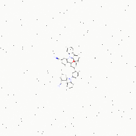 N#CC1=CCCc2c1c1ccccc1n2-c1cccc(-c2cccc(-c3ccc(C#N)cc3N3c4ccccc4C4C=CC=CC43)c2)c1